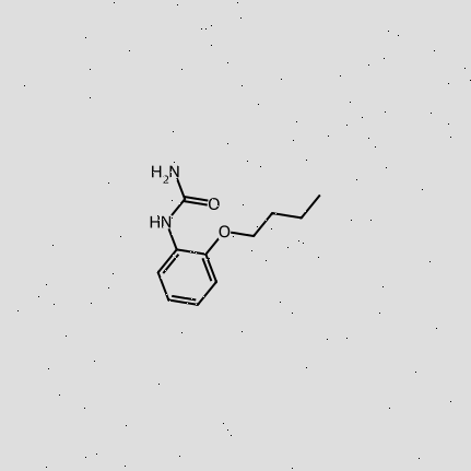 CCCCOc1ccccc1NC(N)=O